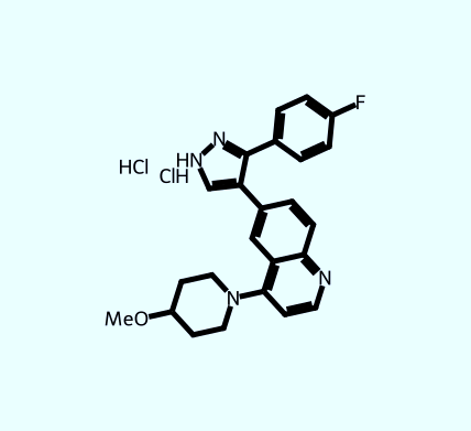 COC1CCN(c2ccnc3ccc(-c4c[nH]nc4-c4ccc(F)cc4)cc23)CC1.Cl.Cl